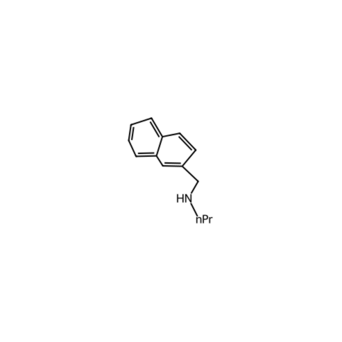 [CH2]CCNCc1ccc2ccccc2c1